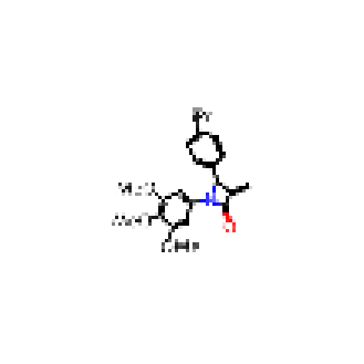 C=C1C(=O)N(c2cc(OC)c(OC)c(OC)c2)C1c1ccc(C(C)C)cc1